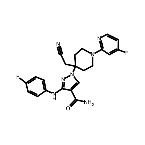 N#CCC1(n2cc(C(N)=O)c(Nc3ccc(F)cc3)n2)CCN(c2cc(F)ccn2)CC1